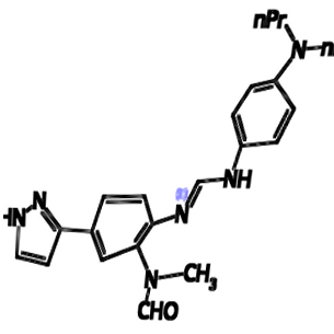 CCCN(CCC)c1ccc(N/C=N/c2ccc(-c3cc[nH]n3)cc2N(C)C=O)cc1